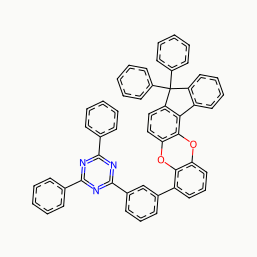 c1ccc(-c2nc(-c3ccccc3)nc(-c3cccc(-c4cccc5c4Oc4ccc6c(c4O5)-c4ccccc4C6(c4ccccc4)c4ccccc4)c3)n2)cc1